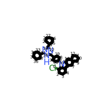 Clc1cccc2c3cc4ccccc4cc3n(-c3ccc(C4=NC(c5ccccc5)=NC(c5ccccc5)N4)cc3)c12